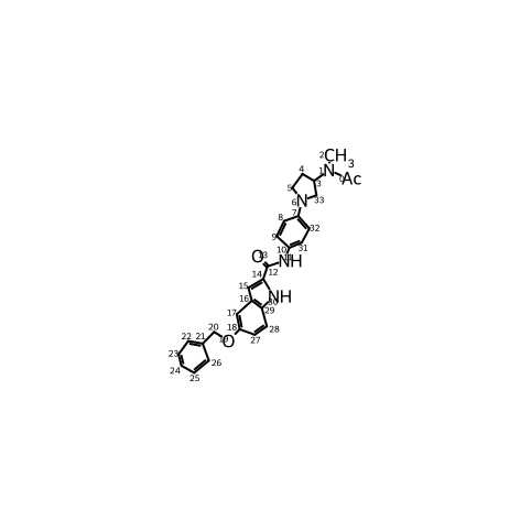 CC(=O)N(C)C1CCN(c2ccc(NC(=O)c3cc4cc(OCc5ccccc5)ccc4[nH]3)cc2)C1